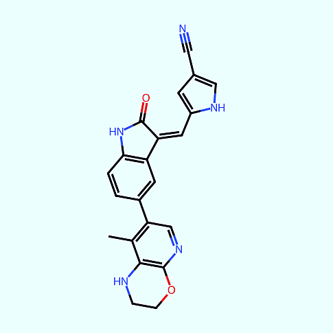 Cc1c(-c2ccc3c(c2)C(=Cc2cc(C#N)c[nH]2)C(=O)N3)cnc2c1NCCO2